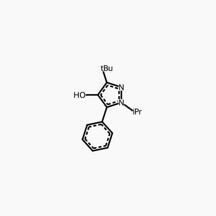 CC(C)n1nc(C(C)(C)C)c(O)c1-c1ccccc1